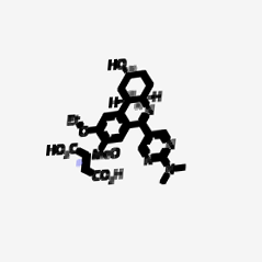 CCOc1cc2c(cc1OC)C(c1cnc(N(C)C)nc1)=N[C@@H]1CC[C@@H](O)C[C@H]21.O=C(O)/C=C/C(=O)O